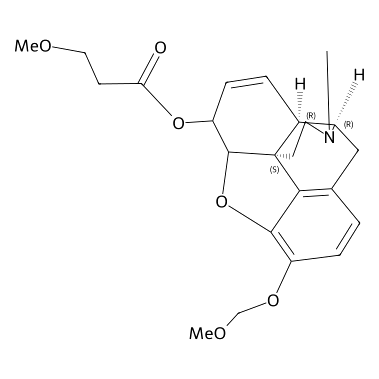 COCCC(=O)OC1C=C[C@H]2[C@H]3Cc4ccc(OCOC)c5c4[C@@]2(CCN3C)C1O5